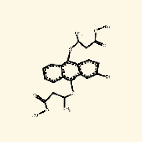 CCc1ccc2c(OC(C)CC(=O)OC(C)(C)C)c3ccccc3c(OC(C)CC(=O)OC(C)(C)C)c2c1